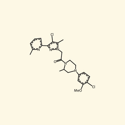 COc1cc(N2CCN(C(=O)Cn3nc(-c4cccc(C)n4)c(Cl)c3C)C(C)C2)ccc1Cl